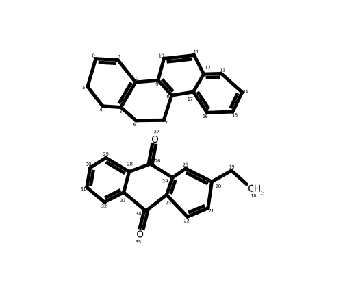 C1=CC2=C(CC1)CCc1c2ccc2ccccc12.CCc1ccc2c(c1)C(=O)c1ccccc1C2=O